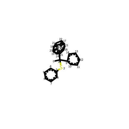 CC(Sc1ccccc1)(c1ccccc1)[C]12[CH]3[CH]4[CH]5[CH]1[Fe]45321678[CH]2[CH]1[CH]6[CH]7[CH]28